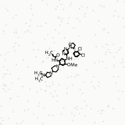 C=CC(=O)Nc1cc(Nc2cc(N3OCC[C@@H]3c3cccc(Cl)c3Cl)ncn2)c(OC)cc1N1CCC(N2CC[C@@H](N(C)C)C2)CC1